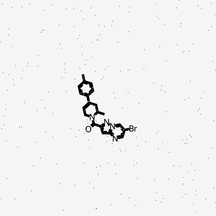 Cc1ccc(C2=CCN(C(=O)c3cc4ncc(Br)cn4n3)C(C)C2)cc1